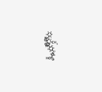 CCCc1c(-c2ccccc2)noc1-c1nc(-c2ccc(CN3CC(C(=O)O)C3)cc2)no1